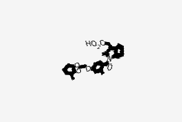 Cc1cc(OCC2Oc3cccc(C)c3O2)ccc1C(=O)N1c2ccccc2C(CC(=O)O)C1C